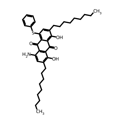 CCCCCCCCCc1cc(N)c2c(c1O)C(=O)c1c(O)c(CCCCCCCCC)cc(Sc3ccccc3)c1C2=O